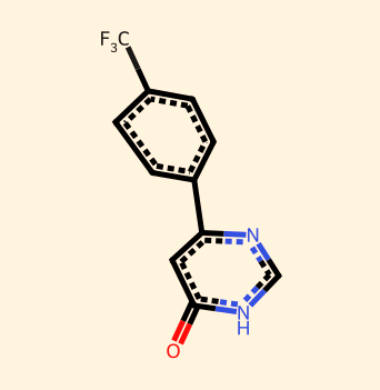 O=c1cc(-c2ccc(C(F)(F)F)cc2)nc[nH]1